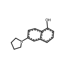 Oc1cccc2cc(N3CCCC3)ccc12